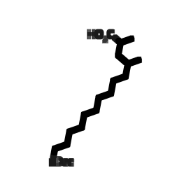 CCCCCCCCCCCCCCCCCCCCC(C)CC(C)C(=O)O